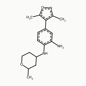 Cc1noc(C)c1-c1ccc(NC2CCOC(C)C2)c(N)c1